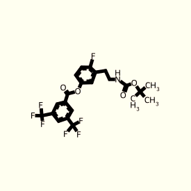 CC(C)(C)OC(=O)NCCc1cc(OC(=O)c2cc(C(F)(F)F)cc(C(F)(F)F)c2)ccc1F